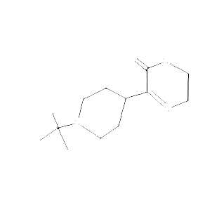 CC(C)(C)N1CCC(C2=NCCNC2=O)CC1